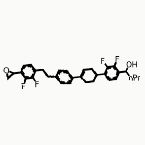 CCCC(O)c1ccc(C2CC=C(c3ccc(CCc4ccc(C5CO5)c(F)c4F)cc3)CC2)c(F)c1F